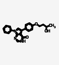 CC(O)CCOc1ccc(-c2cn(-c3ccccc3)c3nc[nH]c(=O)c23)cc1